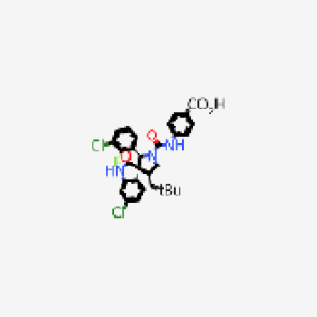 CC(C)(C)C[C@@H]1CN(C(=O)Nc2ccc(C(=O)O)cc2)[C@H](c2cccc(Cl)c2F)[C@]12C(=O)Nc1cc(Cl)ccc12